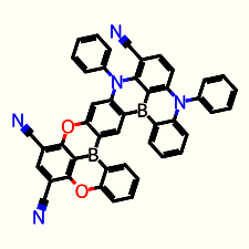 N#Cc1cc(C#N)c2c3c1Oc1ccccc1B3c1cc3c(cc1O2)N(c1ccccc1)c1c(C#N)ccc2c1B3c1ccccc1N2c1ccccc1